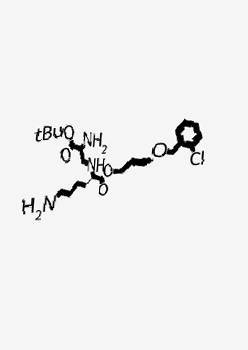 CC(C)(C)OC(=O)C(N)CN[C@@H](CCCCN)C(=O)OCC=COCc1ccccc1Cl